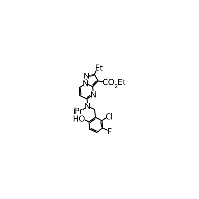 CCOC(=O)c1c(CC)nn2ccc(N(Cc3c(O)ccc(F)c3Cl)C(C)C)nc12